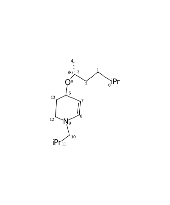 CC(C)CC[C@@H](C)OC1C=CN(CC(C)C)CC1